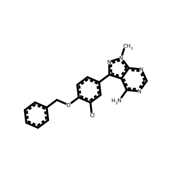 Cn1nc(-c2ccc(OCc3ccccc3)c(Cl)c2)c2c(N)ncnc21